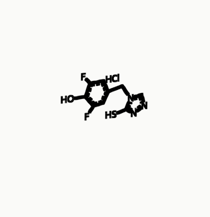 Cl.Oc1c(F)cc(Cn2cnnc2S)cc1F